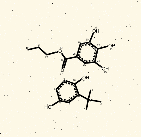 CC(C)(C)c1cc(O)ccc1O.CCCOC(=O)c1cc(O)c(O)c(O)c1